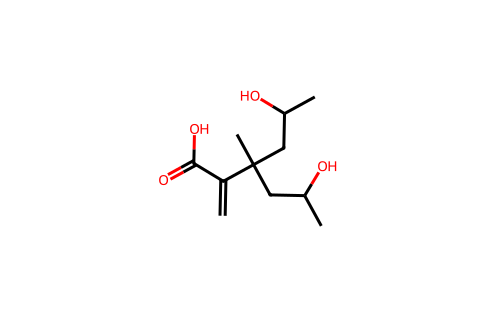 C=C(C(=O)O)C(C)(CC(C)O)CC(C)O